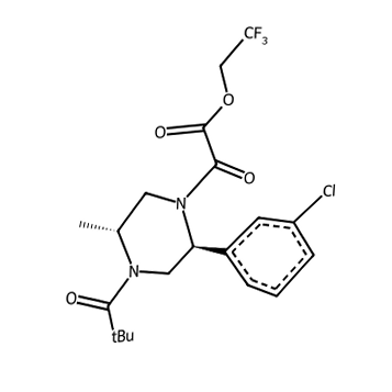 C[C@@H]1CN(C(=O)C(=O)OCC(F)(F)F)[C@@H](c2cccc(Cl)c2)CN1C(=O)C(C)(C)C